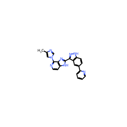 Cc1cn(-c2nccc3[nH]c(-c4n[nH]c5ccc(-c6ccccn6)cc45)nc23)cn1